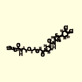 CC(C)(C)OC(=O)NCCOCCOCC(=O)N1CC[C@@H](C(=O)Nc2csc(-c3ccc(Cl)c(Cl)c3)n2)C1